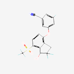 N#Cc1cc(F)cc(Oc2ccc(S(=O)(=O)C(F)(F)F)c3c2CC(F)(F)C3O)c1